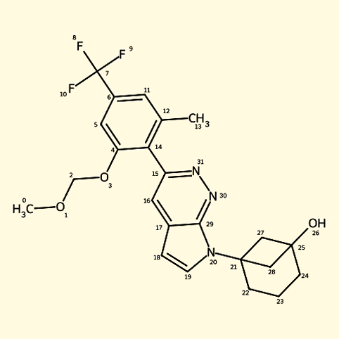 COCOc1cc(C(F)(F)F)cc(C)c1-c1cc2ccn(C34CCCC(O)(C3)C4)c2nn1